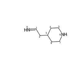 N=CCC1CCNCC1